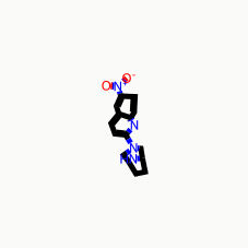 O=[N+]([O-])c1ccc2nc(N3CC4CCC(C3)N4)ccc2c1